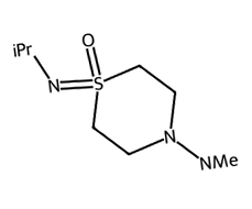 CNN1CCS(=O)(=NC(C)C)CC1